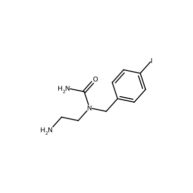 NCCN(Cc1ccc(I)cc1)C(N)=O